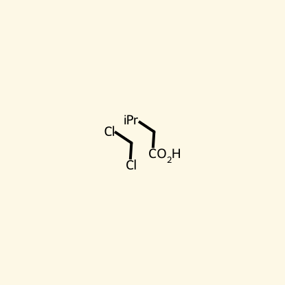 CC(C)CC(=O)O.ClCCl